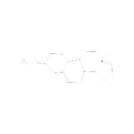 CC(=O)OC1=CC2=CCC3C(CCC4(C)CCCC34)C2CC1